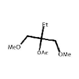 CCC(COC)(COC)OC(C)=O